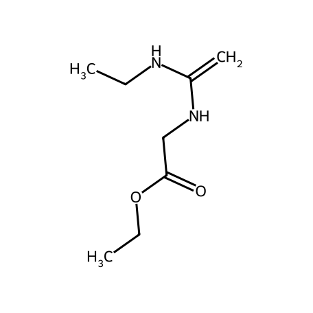 C=C(NCC)NCC(=O)OCC